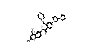 Cc1cc(O)nc2ccc(NC(=O)c3cnc(N4CCC(N5CCCC5)C4)cc3CN3CCOCC3)cc12